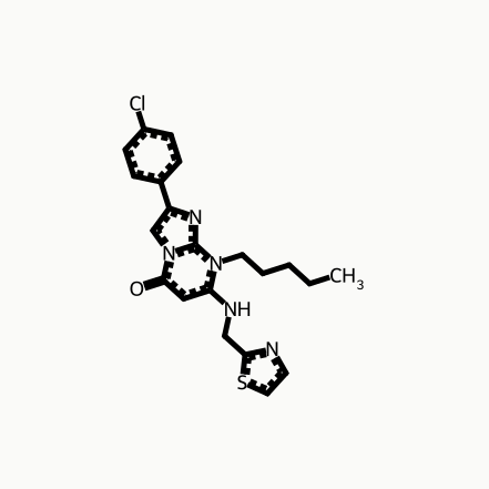 CCCCCn1c(NCc2nccs2)cc(=O)n2cc(-c3ccc(Cl)cc3)nc12